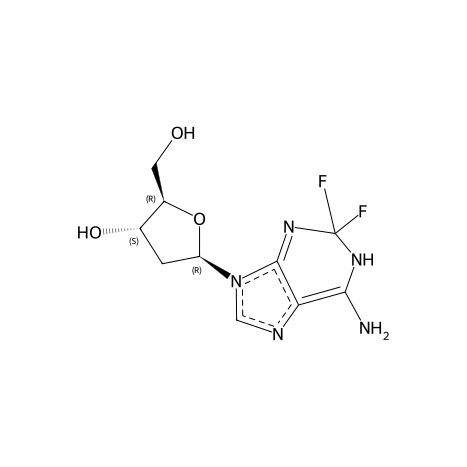 NC1=c2ncn([C@H]3C[C@H](O)[C@@H](CO)O3)c2=NC(F)(F)N1